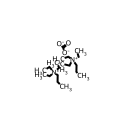 CCC[N+](CC)(CC)CC.CCC[N+](CC)(CC)CC.O=C([O-])[O-]